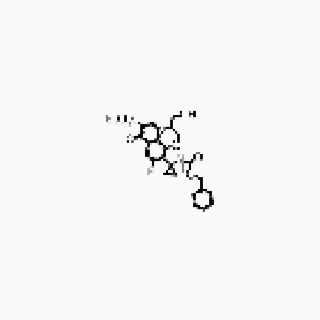 CCOC(=O)c1cn2c3c(c(C4(NC(=O)OCc5ccccc5)CC4)c(F)cc3c1=O)OCC2CO